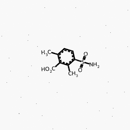 Cc1ccc(S(N)(=O)=O)c(C)c1C(=O)O